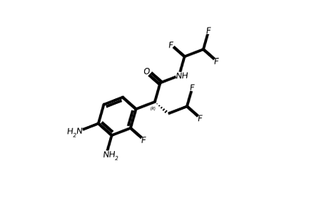 Nc1ccc([C@@H](CC(F)F)C(=O)NC(F)C(F)F)c(F)c1N